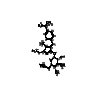 CCn1nc(O[C@@H]2O[C@H](CO)[C@@H](O)[C@H](O)[C@H]2O)c(Cc2ccc(C(C)C)cc2)c1C